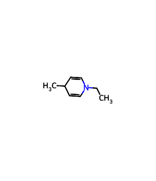 CCN1C=CC(C)C=C1